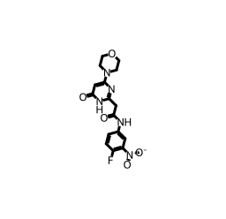 O=C(Cc1nc(N2CCOCC2)cc(=O)[nH]1)Nc1ccc(F)c([N+](=O)[O-])c1